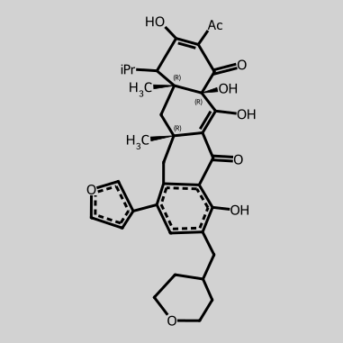 CC(=O)C1=C(O)C(C(C)C)[C@@]2(C)C[C@@]3(C)Cc4c(-c5ccoc5)cc(CC5CCOCC5)c(O)c4C(=O)C3=C(O)[C@@]2(O)C1=O